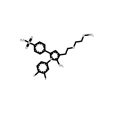 Cc1c(CCOCCO[N+](=O)[O-])cc(-c2ccc(S(C)(=O)=O)cc2)n1-c1ccc(F)c(F)c1